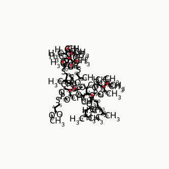 COC(=O)CCSP(OC(C)CSP(OC(C)CSP(CC(C)CC(C)C)OC(C)CC(C)C)OC(C)CSP(OC(C)CC(C)C)OC(C)CC(C)C)OC(C)CSP(=S)(OC(C)CSP(OC)OC(C)CC(C)C)OC(C)CSP(OC(C)CC(C)C)OC(C)CC(C)C